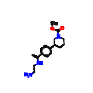 C=C(NCCN)c1ccc(C2CCCN(C(=O)OC(C)(C)C)C2)cc1